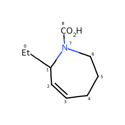 CCC1C=CCCCN1C(=O)O